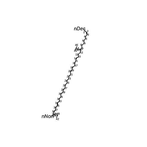 CCCCCCCCCCC/C=C\CCCCCCC(CCCCCCCCCCCCCCCCCCCCCCCC=CCCCC(CCCCCCCCC)N(C)C)N(C)C